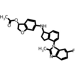 CC(=O)O[C@@H]1COc2cc(NC3CCc4c3cccc4-n3c(C)nc4ccc(F)cc43)ccc21